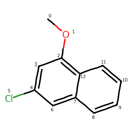 COc1[c]c(Cl)cc2ccccc12